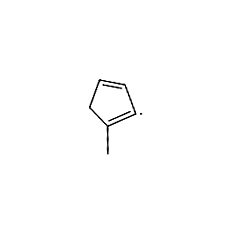 CC1=[C]C=CC1